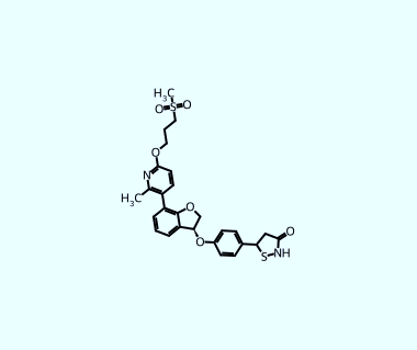 Cc1nc(OCCCS(C)(=O)=O)ccc1-c1cccc2c1OC[C@H]2Oc1ccc(C2CC(=O)NS2)cc1